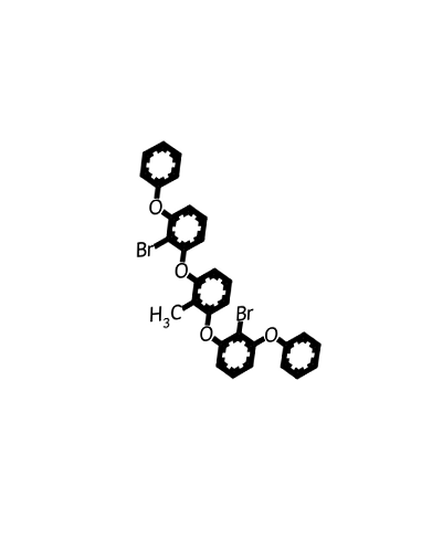 Cc1c(Oc2cccc(Oc3ccccc3)c2Br)cccc1Oc1cccc(Oc2ccccc2)c1Br